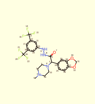 CN1CCN(C(C(=O)NNc2cc(C(F)(F)F)cc(C(F)(F)F)c2)c2ccc3c(c2)OCO3)CC1